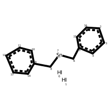 I.I.c1ccc([CH2][Sn][CH2]c2ccccc2)cc1